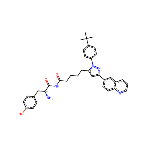 CC(C)(C)c1ccc(-n2nc(-c3ccc4ncccc4c3)cc2CCCCC(=O)NC(=O)[C@@H](N)Cc2ccc(O)cc2)cc1